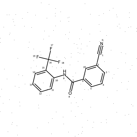 N#Cc1cccc(C(=O)Nc2ccccc2C(F)(F)F)c1